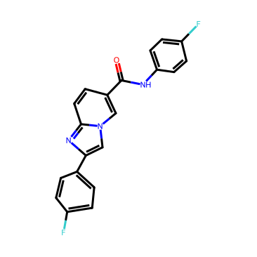 O=C(Nc1ccc(F)cc1)c1ccc2nc(-c3ccc(F)cc3)cn2c1